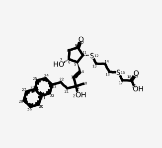 CC(O)(/C=C/[C@H]1[C@H](O)CC(=O)[C@@H]1SCCCSCC(=O)O)CCc1ccc2ccccc2c1